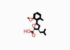 COc1cccc(C)c1C1C[C@@H](CC(C)C)[C@H](C(=O)O)O1